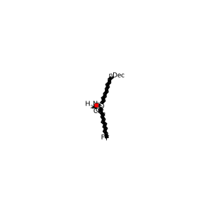 C=CCN.CCCCCCCCCCCCCCCCCCCCCCOS(=O)(=O)CCCCCCCCCCCC(F)F